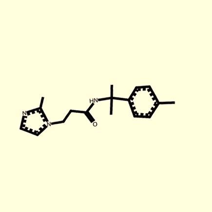 Cc1ccc(C(C)(C)NC(=O)CCn2ccnc2C)cc1